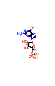 Nc1nc2c(ncn2[C@@H]2O[C@H](C(F)OP(=O)(O)O)[C@@H](O)[C@H]2O)c(=O)[nH]1